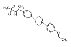 CCOc1ccc(N2CCC(c3ccc(C(C)NS(C)(=O)=O)cc3)CC2)cc1